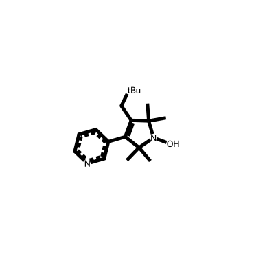 CC(C)(C)CC1=C(c2cccnc2)C(C)(C)N(O)C1(C)C